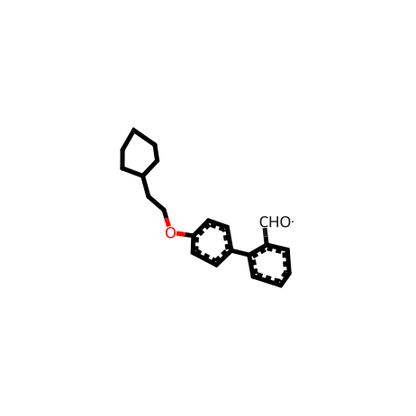 O=[C]c1ccccc1-c1ccc(OCCC2CCCCC2)cc1